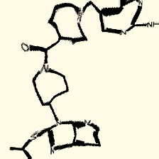 CC(C)Sc1nc2cccnc2n1C1CCN(C(=O)C2CCN(Cc3cnc(N)nc3)CC2)CC1